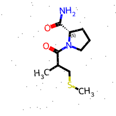 CSCC(C)C(=O)N1CCC[C@H]1C(N)=O